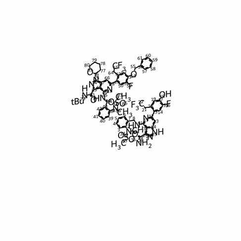 CN(c1ccccc1CNc1nc(-c2cc(F)c(O)cc2CC(F)(F)F)cc2[nH]nc(C(N)=O)c12)S(C)(=O)=O.CN(c1ccccc1CNc1nc(-c2cc(F)c(OCc3ccccc3)cc2CC(F)(F)F)cc2c1c(C(=O)NC(C)(C)C)nn2C1CCCCO1)S(C)(=O)=O